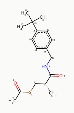 CC(=O)SC[C@@H](C)C(=O)NCc1ccc(C(C)(C)C)cc1